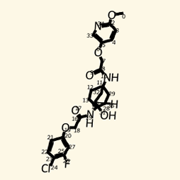 COc1ccc(OCC(=O)NC23CCC(NC(=O)COc4ccc(Cl)c(F)c4)(CC2)[C@@H](O)C3)cn1